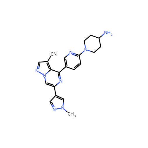 Cn1cc(-c2cn3ncc(C#N)c3c(-c3ccc(N4CCC(N)CC4)nc3)n2)cn1